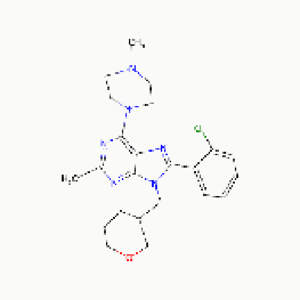 Cc1nc(N2CCN(C)CC2)c2nc(-c3ccccc3Cl)n(CC3CCCOC3)c2n1